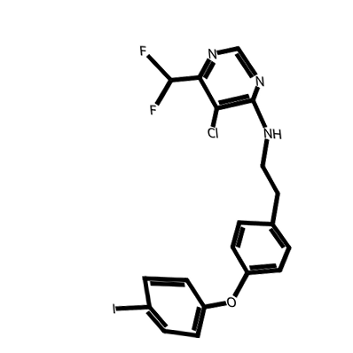 FC(F)c1ncnc(NCCc2ccc(Oc3ccc(I)cc3)cc2)c1Cl